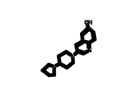 Oc1ccc2ncc(N3CCC(N4CCCC4)CC3)cc2c1